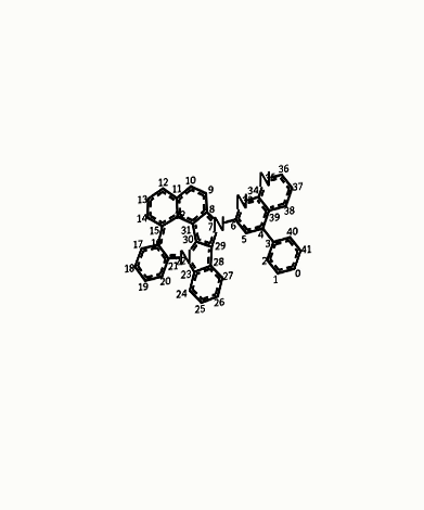 c1ccc(-c2cc(-n3c4ccc5cccc6c7ccccc7n7c8ccccc8c3c7c4c56)nc3ncccc23)cc1